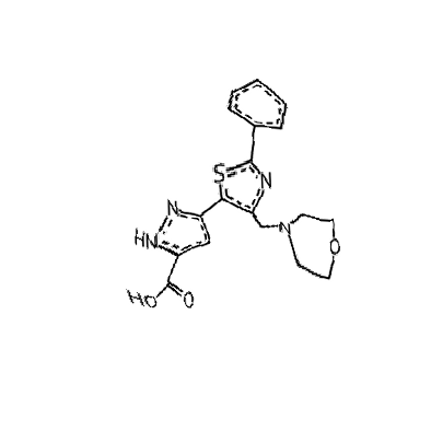 O=C(O)c1cc(-c2sc(-c3ccccc3)nc2CN2CCOCC2)n[nH]1